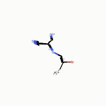 C/C(Br)=C\N=C(\C#N)C=N